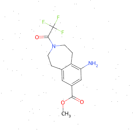 COC(=O)c1cc(N)c2c(c1)CCN(C(=O)C(F)(F)F)CC2